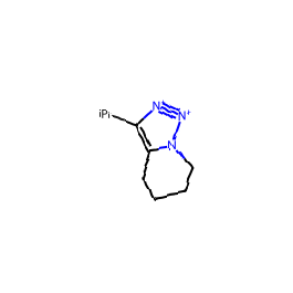 CC(C)c1[n+]#[n+]n2c1CCCC2